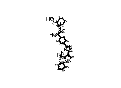 O=C(N[C@@H]1CCCC[C@H]1CO)C(O)c1ccc(-c2noc(-c3cnn(-c4ccccc4)c3C(F)(F)F)n2)cc1